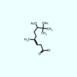 CCC(=O)CC=C(C)CCC(OC(C)=O)C(C)(C)OC(C)=O